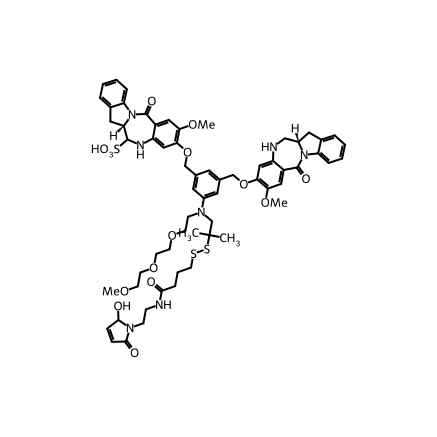 COCCOCCOCCN(CC(C)(C)SSCCCC(=O)NCCN1C(=O)C=CC1O)c1cc(COc2cc3c(cc2OC)C(=O)N2c4ccccc4C[C@H]2CN3)cc(COc2cc3c(cc2OC)C(=O)N2c4ccccc4C[C@H]2C(S(=O)(=O)O)N3)c1